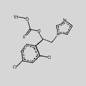 CCOC(=S)OC(Cn1ccnc1)c1ccc(Cl)cc1Cl